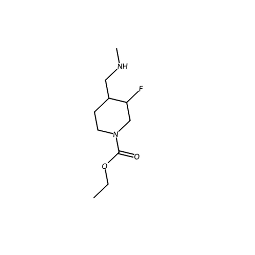 CCOC(=O)N1CCC(CNC)C(F)C1